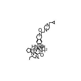 CCC1CN(C)C2=C(N[C@@](N)(Nc3cc4c(cc3OC)CN(C(=O)CN3CCN(CC5CC5)CC3)CC4)NC2=O)N1C1CCCC1